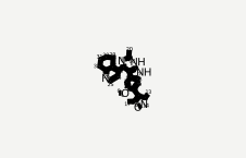 COc1cc2c3c([nH]c2cc1-c1c(C)noc1C)NC(C)N=C3c1ccnc2c1CCCC2